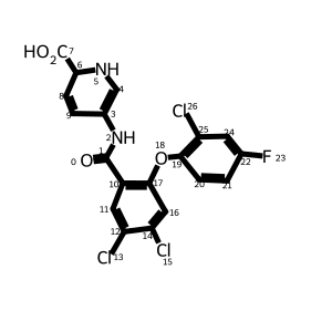 O=C(NC1=CNC(C(=O)O)C=C1)c1cc(Cl)c(Cl)cc1Oc1ccc(F)cc1Cl